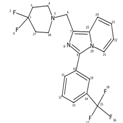 FC1(F)CCN(Cc2nc(-c3cccc(C(F)(F)F)c3)n3ccccc23)CC1